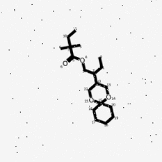 CCC(COC(=O)C(C)(C)CC)C1COC2(CCCCC2)OC1